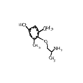 Cc1cc(O)cc(C)c1OCC(C)N